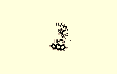 C[C@H]1COc2c([S@@](N)(=O)=NC(=O)Nc3c4c(cc5c3CCC5)CCC4)cnn21